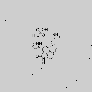 CS(=O)(=O)O.NCCNc1cc(-c2ccc[nH]2)c2c3c(ccc(F)c13)NC2=O